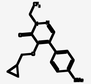 CSc1ccc(-c2cnn(CC(F)(F)F)c(=O)c2OCC2CC2)cc1